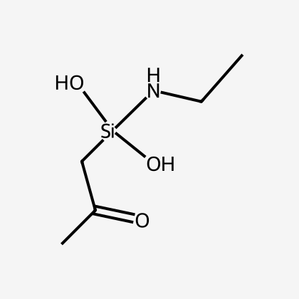 CCN[Si](O)(O)CC(C)=O